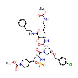 CC(C)(C)OC(=O)NCCCC[C@H](NC(=O)[C@@H]1C[C@@H](OCc2ccc(Cl)cc2)CN1C(=O)[C@@H](CC=C1CCN(C(=O)OC(C)(C)C)CC1)NS(C)(=O)=O)C(=O)C(=O)NCCc1ccccc1